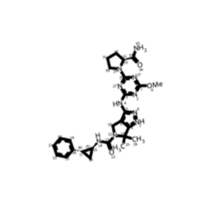 COc1nc(Nc2n[nH]c3c2CN(C(=O)N[C@H]2C[C@@H]2c2ccccc2)C3(C)C)nc(N2CCC[C@H]2C(N)=O)n1